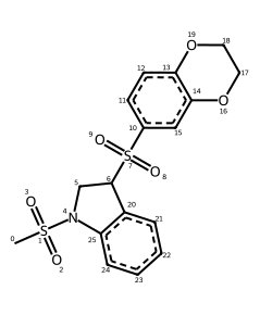 CS(=O)(=O)N1CC(S(=O)(=O)c2ccc3c(c2)OCCO3)c2ccccc21